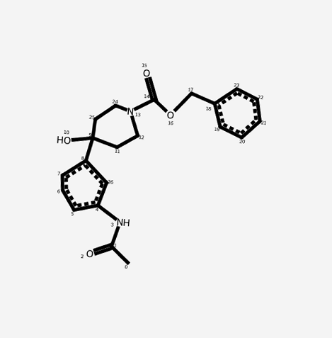 CC(=O)Nc1cccc(C2(O)CCN(C(=O)OCc3ccccc3)CC2)c1